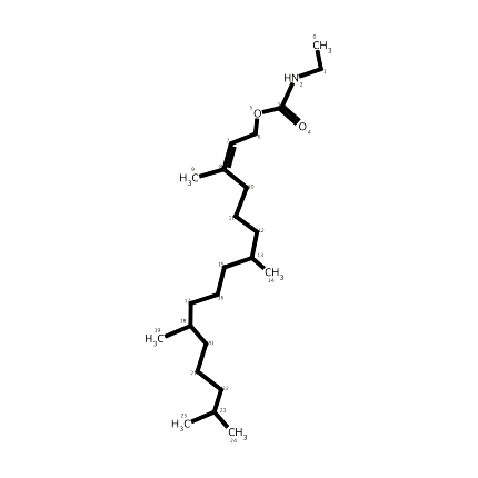 CCNC(=O)OCC=C(C)CCCC(C)CCCC(C)CCCC(C)C